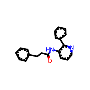 O=C(CCc1ccccc1)Nc1cccnc1-c1ccccc1